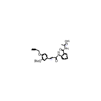 C#CCOc1ccc(/C=C/C(=O)Nc2ccccc2C(=O)N/C(C)=N/O)cc1OC